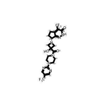 O=C(N1CCN(c2ncc(C(F)(F)F)cn2)CC1)C1(O)CN([C@@H]2CCc3c2n[nH]c(=O)c3C(F)(F)F)C1